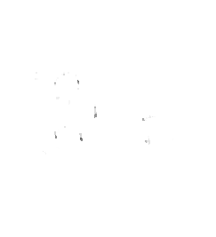 O=C(NC1CCCC1)C1CCC(c2ccc(Cl)cc2)=C(c2ccc(Cl)cc2)C1